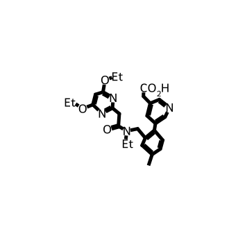 CCOc1cc(OCC)nc(CC(=O)N(CC)Cc2cc(C)ccc2-c2cncc(CC(=O)O)c2)n1